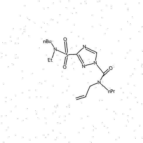 C=CCN(CCC)C(=O)n1cnc(S(=O)(=O)N(CC)CCCC)n1